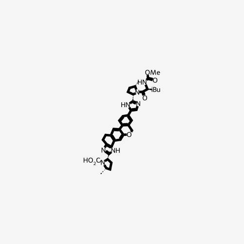 CCC(C)[C@H](NC(=O)OC)C(=O)N1[C@@H](C)CC[C@H]1c1ncc(-c2ccc3c(c2)COc2cc4c(cc2-3)CCc2nc([C@@H]3CC[C@H](C)N3C(=O)O)[nH]c2-4)[nH]1